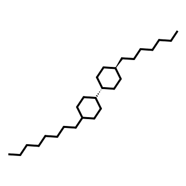 CCCCCCCCC1CCC([C@H]2CC[C@H](CCCCCCC)CC2)CC1